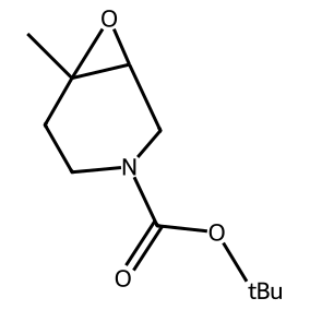 CC(C)(C)OC(=O)N1CCC2(C)OC2C1